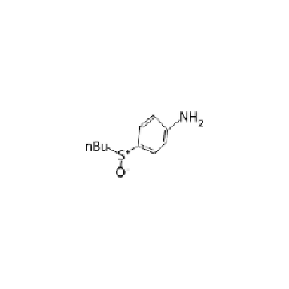 CCCC[S+]([O-])c1ccc(N)cc1